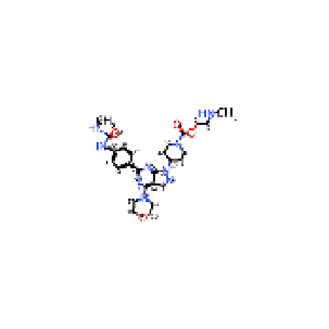 CNCCOC(=O)N1CCC(n2ncc3c(N4CCOCC4)nc(-c4ccc(NC(=O)NC)cc4)nc32)CC1